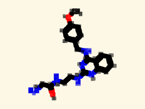 COc1ccc(CNc2nc(NCCNC(=O)CN)nc3ccccc23)cc1